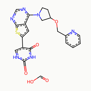 O=CO.O=c1[nH]cc(-c2cc3c(N4CCC(OCc5ccccn5)C4)ncnc3s2)c(=O)[nH]1